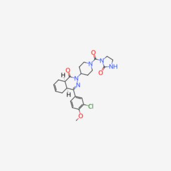 COc1ccc(C2=NN(C3CCN(C(=O)N4CCNC4=O)CC3)C(=O)[C@@H]3CC=CC[C@H]23)cc1Cl